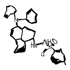 Cc1ccc(S(=O)(=O)NNC2C=Cc3c(N(c4ccccc4)c4ccccc4)ccc4cccc2c34)cc1